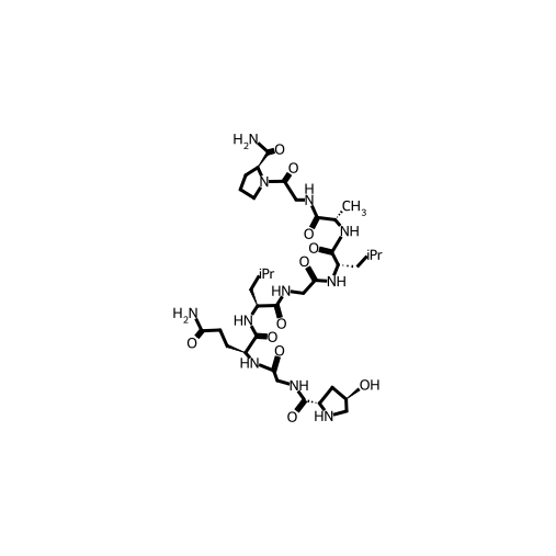 CC(C)C[C@H](NC(=O)CNC(=O)[C@H](CC(C)C)NC(=O)[C@H](CCC(N)=O)NC(=O)CNC(=O)[C@@H]1C[C@@H](O)CN1)C(=O)N[C@@H](C)C(=O)NCC(=O)N1CCC[C@H]1C(N)=O